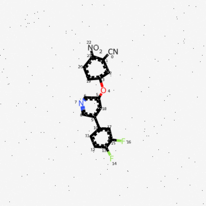 N#Cc1cc(Oc2cncc(-c3ccc(F)c(F)c3)c2)ccc1[N+](=O)[O-]